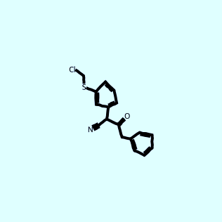 N#CC(C(=O)Cc1ccccc1)c1cccc(SCCl)c1